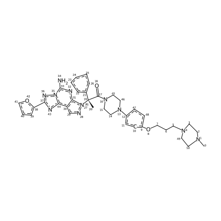 CN1CCN(CCCOc2ccc(N3CCN(C(=O)[C@@](C)(c4ccccc4)n4ncc5c4nc(N)n4nc(-c6ccco6)nc54)CC3)cc2)CC1